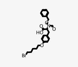 O=CN(OCc1ccccc1)C(Cc1ccc(OCCCCCBr)cc1)C(=O)O